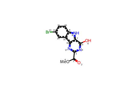 COC(=O)c1nc(O)c2[nH]c3ccc(Br)cc3c2n1